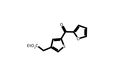 CCOC(=O)Cc1csc(C(=O)c2ccco2)c1